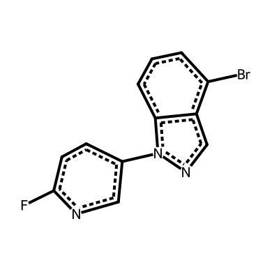 Fc1ccc(-n2ncc3c(Br)cccc32)cn1